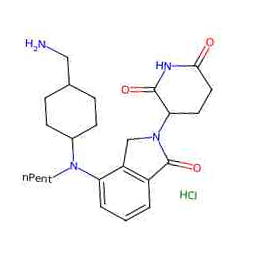 CCCCCN(c1cccc2c1CN(C1CCC(=O)NC1=O)C2=O)C1CCC(CN)CC1.Cl